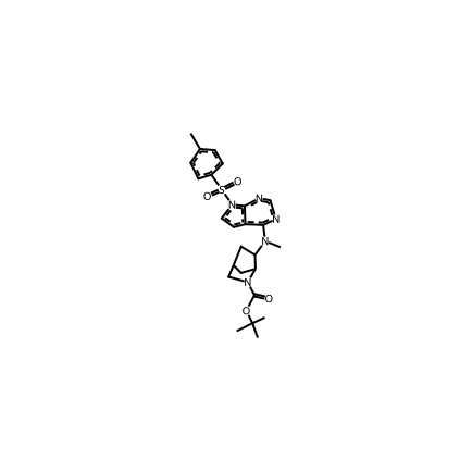 Cc1ccc(S(=O)(=O)n2ccc3c(N(C)C4CC5CC4N(C(=O)OC(C)(C)C)C5)ncnc32)cc1